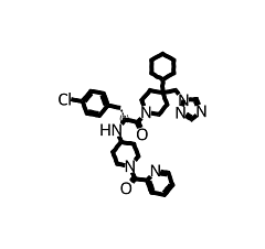 O=C(c1ccccn1)N1CCC(N[C@H](Cc2ccc(Cl)cc2)C(=O)N2CCC(Cn3cncn3)(C3CCCCC3)CC2)CC1